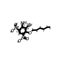 CCCCCCOc1c([N+](=O)[O-])cc([N+](=O)[O-])c(N)c1Br